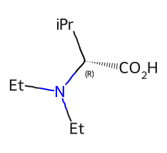 CCN(CC)[C@@H](C(=O)O)C(C)C